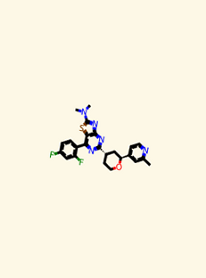 Cc1cc([C@@H]2C[C@@H](c3nc(-c4ccc(F)cc4F)c4sc(N(C)C)nc4n3)CCO2)ccn1